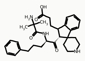 CC(C)(N)C(=O)N[C@H](CCCc1ccccc1)C(=O)[C@@H]1C(CCC(=O)O)c2ccccc2C12CCNCC2